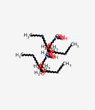 CCCCCCCC/C=C\CCCCCCCCOC(=O)C(C)(C)CC(OCCCCCCCC/C=C\CCCCCCCC)O[Si](C)(C)OCCCCCCN(C)CC(O)CO.CCCCCCCC/C=C\CCCCCCCCOC(=O)C(C)(C)CC(OCCCCCCCC/C=C\CCCCCCCC)O[Si](C)(C)OCCCCCCN(C)CC(O)CO